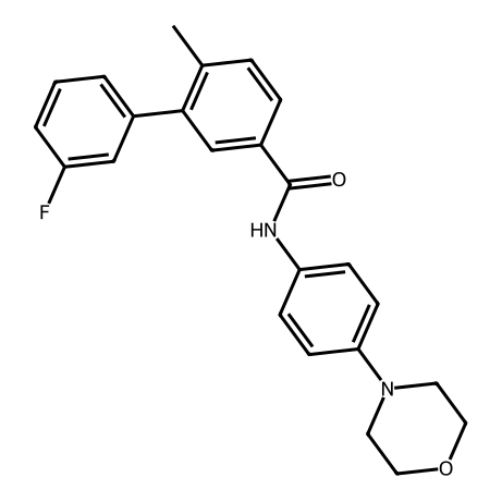 Cc1ccc(C(=O)Nc2ccc(N3CCOCC3)cc2)cc1-c1cccc(F)c1